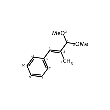 COC(OC)/C(C)=C/c1ccccc1